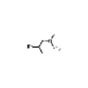 CC(C)C(C)CN(C)N